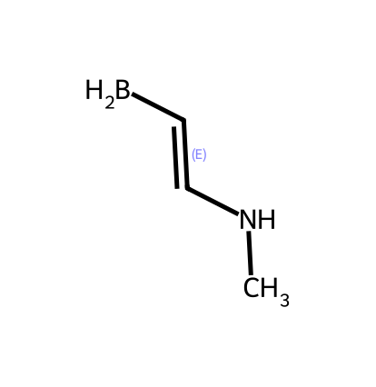 B/C=C/NC